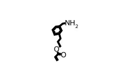 C=CC(=O)OCCCc1cccc(CN)c1